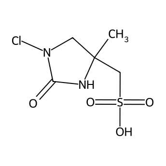 CC1(CS(=O)(=O)O)CN(Cl)C(=O)N1